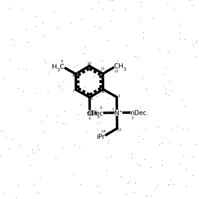 CCCCCCCCCC[N+](CCCCCCCCCC)(Cc1c(C)cc(C)cc1C)CC(C)C